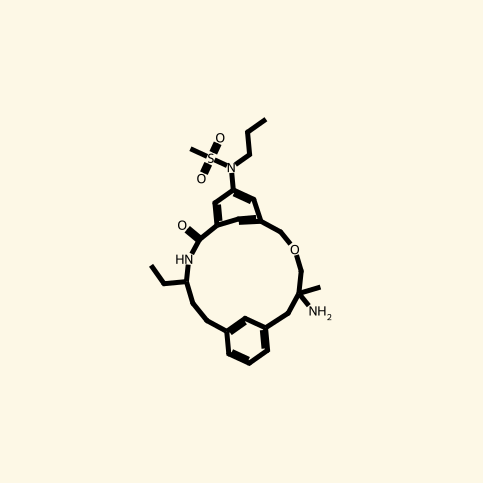 CCCN(c1cc2cc(c1)C(=O)NC(CC)CCc1cccc(c1)CC(C)(N)COC2)S(C)(=O)=O